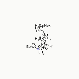 CCCCCC[N+](C)(C)CC(O)COC(=O)C(C)(CC)CC(C)Cn1c(=O)n(CC(C)C)c(=O)n(CC(C)/C=C/c2cccc(C(C)CC)c2)c1=O